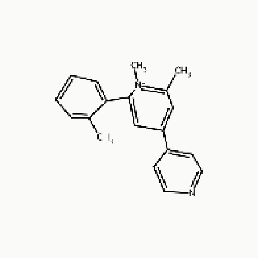 Cc1ccccc1-c1cc(-c2ccncc2)cc(C)[n+]1C